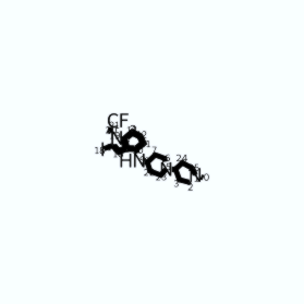 CN1CCC(N2CCC(Nc3cccc4c3cc(I)n4CC(F)(F)F)CC2)CC1